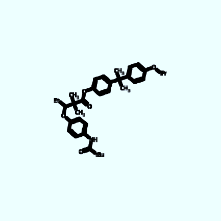 CCC(Oc1ccc(NC(=O)C(C)(C)C)cc1)C(C)(C)C(=O)Oc1ccc(C(C)(C)c2ccc(OC(C)C)cc2)cc1